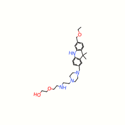 CCOCc1ccc2c(c1)Nc1ccc(CN3CCN(CCNCCOCCO)CC3)cc1C2(C)C